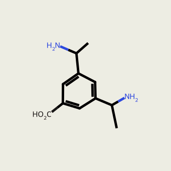 CC(N)c1cc(C(=O)O)cc(C(C)N)c1